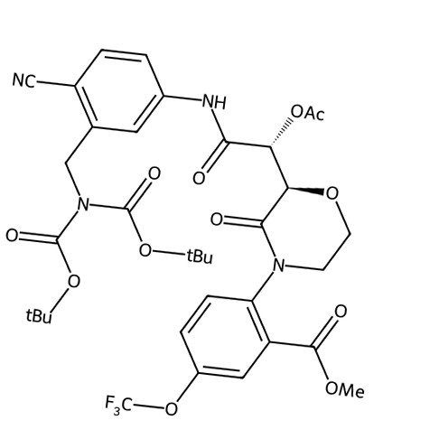 COC(=O)c1cc(OC(F)(F)F)ccc1N1CCO[C@H]([C@@H](OC(C)=O)C(=O)Nc2ccc(C#N)c(CN(C(=O)OC(C)(C)C)C(=O)OC(C)(C)C)c2)C1=O